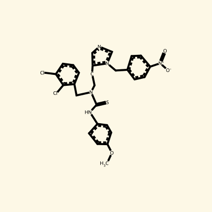 COc1ccc(NC(=S)N(CCc2cncn2Cc2ccc([N+](=O)[O-])cc2)Cc2cccc(Cl)c2Cl)cc1